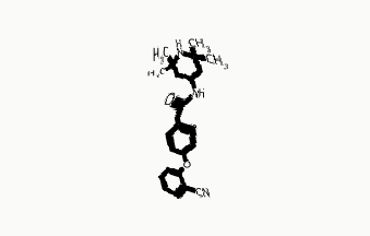 CC1(C)CC(NC(=O)c2ccc(Oc3ccccc3C#N)cc2)CC(C)(C)N1